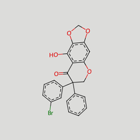 O=C1c2c(cc3c(c2O)OCO3)OCC1(c1ccccc1)c1cccc(Br)c1